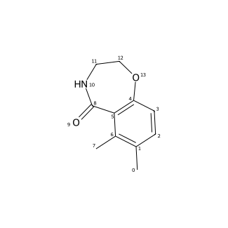 Cc1ccc2c(c1C)C(=O)NCCO2